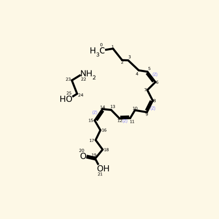 CCCCC/C=C\C/C=C\C/C=C\C/C=C\CCCC(=O)O.NCCO